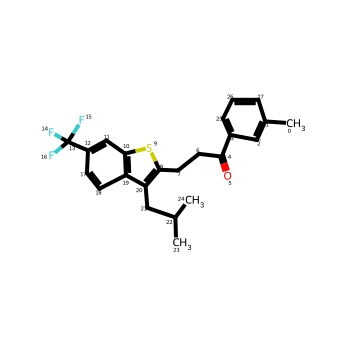 Cc1[c]c(C(=O)CCc2sc3cc(C(F)(F)F)ccc3c2CC(C)C)ccc1